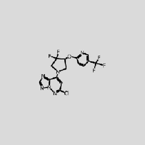 FC(F)(F)c1ccc(OC2CN(c3cc(Cl)nn4ncnc34)CC2(F)F)nc1